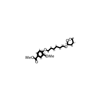 COC(=O)c1ccc(OCCCCCCOC2CCCCO2)c(OC)c1